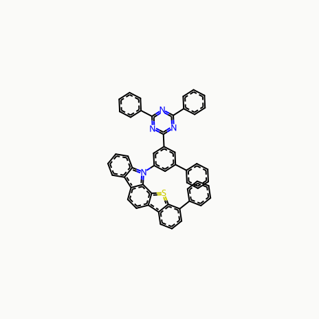 c1ccc(-c2cc(-c3nc(-c4ccccc4)nc(-c4ccccc4)n3)cc(-n3c4ccccc4c4ccc5c6cccc(-c7ccccc7)c6sc5c43)c2)cc1